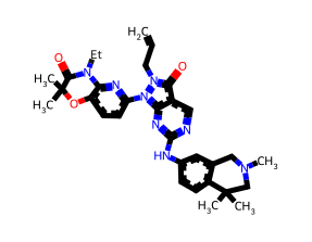 C=CCn1c(=O)c2cnc(Nc3ccc4c(c3)CN(C)CC4(C)C)nc2n1-c1ccc2c(n1)N(CC)C(=O)C(C)(C)O2